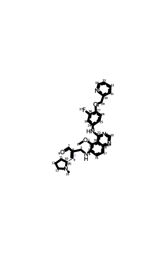 COc1c(NC/C(C=O)=C/[C@H]2CCCN2C)ccc2ncnc(Nc3ccc(OCc4ccccn4)c(F)c3)c12